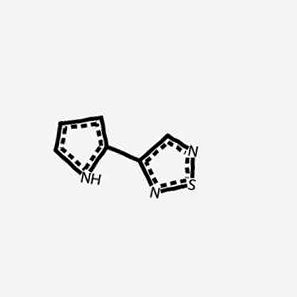 c1c[nH]c(-c2cnsn2)c1